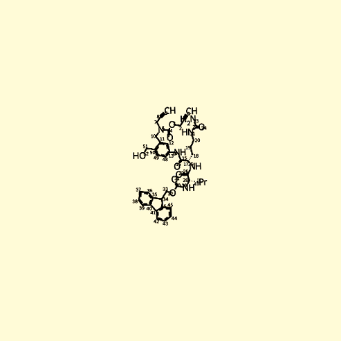 C#CCOC(=O)N(CC#C)Cc1cc(NC(=O)[C@H](CCCNC(N)=O)NC(=O)[C@@H](NC(=O)OCC2c3ccccc3-c3ccccc32)C(C)C)ccc1CO